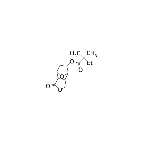 CCC(C)(C)C(=O)OC1CC2OC1C1COC(=O)C21